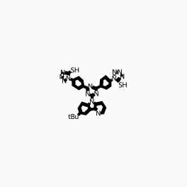 CC(C)(C)c1ccc2c(c1)c1ncccc1n2-c1nc(-c2ccc(-n3nnnc3S)cc2)nc(-c2ccc(-n3nnnc3S)cc2)n1